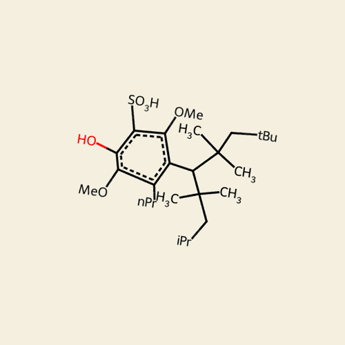 CCCc1c(OC)c(O)c(S(=O)(=O)O)c(OC)c1C(C(C)(C)CC(C)C)C(C)(C)CC(C)(C)C